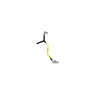 CC(C)C(C)SSC(C)(C)C